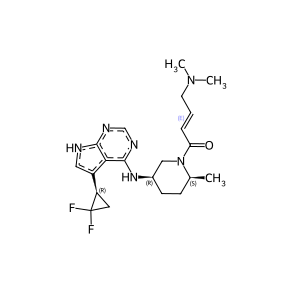 C[C@H]1CC[C@@H](Nc2ncnc3[nH]cc([C@H]4CC4(F)F)c23)CN1C(=O)/C=C/CN(C)C